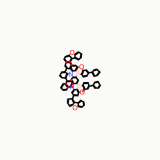 c1ccc(-c2ccc3c(c2)Oc2cc(-c4cccc5oc6ccccc6c45)cc4c2B3c2cc3c(cc2N4c2ccccc2)N(c2c(-c4ccccc4)cccc2-c2ccccc2)c2cc(-c4cccc5oc6ccccc6c45)cc4c2B3c2ccc(-c3ccccc3)cc2O4)cc1